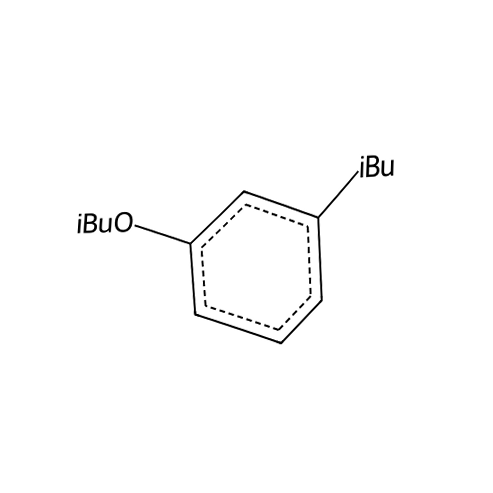 CCC(C)c1cccc(OCC(C)C)c1